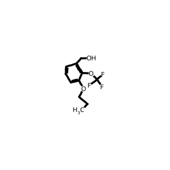 CCCOc1cccc(CO)c1OC(F)(F)F